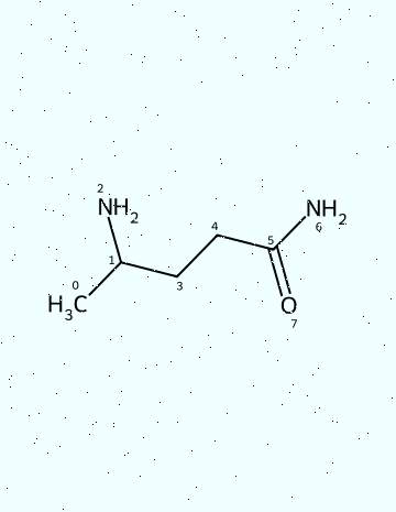 CC(N)CCC(N)=O